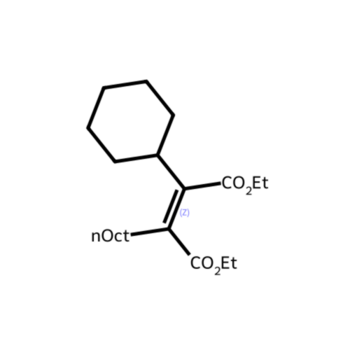 CCCCCCCC/C(C(=O)OCC)=C(/C(=O)OCC)C1CCCCC1